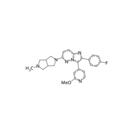 COc1cc(-c2c(-c3ccc(F)cc3)nc3ccc(N4CC5CN(C)CC5C4)nn23)ccn1